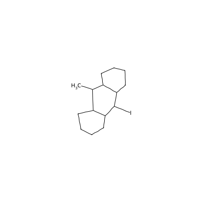 CC1C2CCCCC2C(I)C2CCCCC12